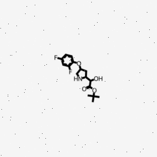 CC(C)(C)OC(=O)C(O)C1CC(Oc2ccc(F)cc2F)CN1